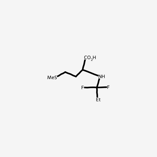 CCC(F)(F)NC(CCSC)C(=O)O